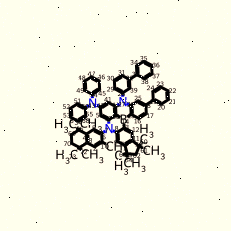 Cc1cc2c(cc1N1c3cc4c(cc3B3c5ccc(-c6ccccc6)cc5N(c5cccc(-c6ccccc6)c5)c5cc(N(c6ccccc6)c6ccccc6)cc1c53)C(C)(C)CC4(C)C)C(C)(C)CCC2(C)C